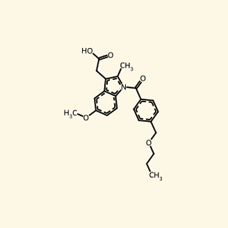 CCCOCc1ccc(C(=O)n2c(C)c(CC(=O)O)c3cc(OC)ccc32)cc1